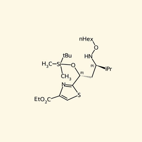 CCCCCCON[C@H](C[C@@H](O[Si](C)(C)C(C)(C)C)c1nc(C(=O)OCC)cs1)C(C)C